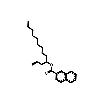 C=CCC(CCCCCCCCC)OC(=O)c1ccc2ccccc2c1